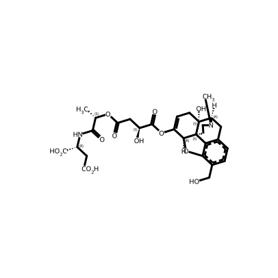 C[C@H](OC(=O)C[C@H](O)C(=O)OC1=CC[C@@]2(O)[C@H]3Cc4ccc(CO)c5c4[C@@]2(CCN3C)[C@H]1O5)C(=O)N[C@H](CC(=O)O)C(=O)O